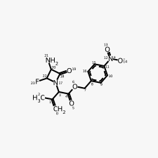 C=C(C)C(C(=O)OCc1ccc([N+](=O)[O-])cc1)N1C(=O)C(N)C1F